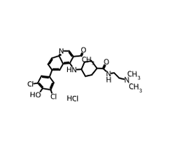 CC(=O)c1cnc2ccc(-c3cc(Cl)c(O)c(Cl)c3)cc2c1NC1CCC(C(=O)NCCN(C)C)CC1.Cl